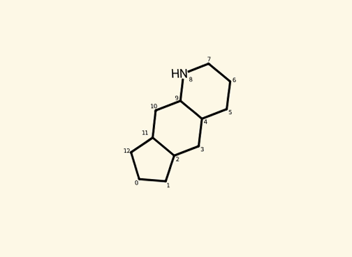 C1CC2CC3CCCNC3CC2C1